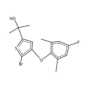 Cc1cc(F)cc(C)c1Oc1cc(C(C)(C)O)sc1Br